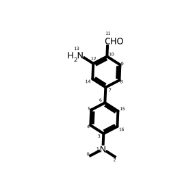 CN(C)c1ccc(-c2ccc(C=O)c(N)c2)cc1